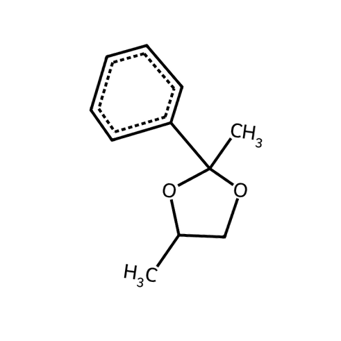 CC1COC(C)(c2ccccc2)O1